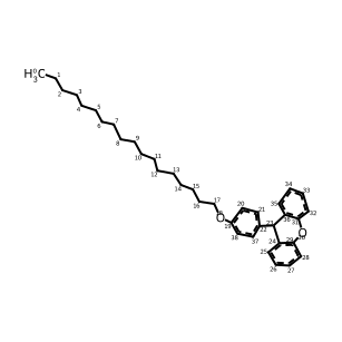 CCCCCCCCCCCCCCCCCCOc1ccc(C2c3ccccc3Oc3ccccc32)cc1